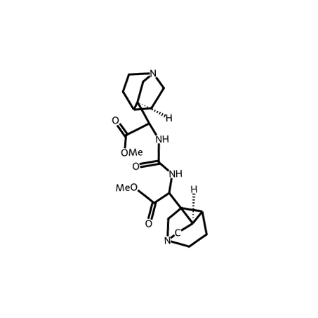 COC(=O)C(NC(=O)NC(C(=O)OC)[C@@H]1CN2CCC1CC2)[C@@H]1CN2CCC1CC2